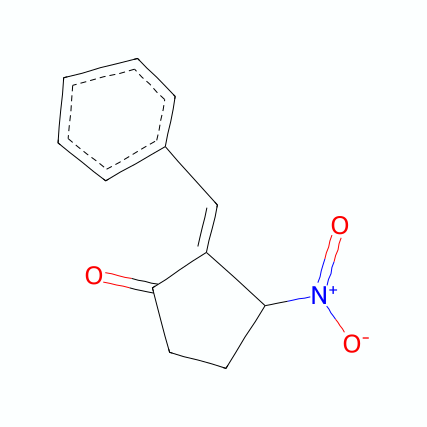 O=C1CCC([N+](=O)[O-])C1=Cc1ccccc1